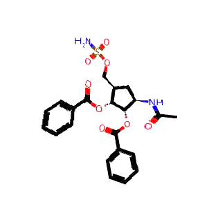 CC(=O)N[C@@H]1C[C@H](COS(N)(=O)=O)[C@@H](OC(=O)c2ccccc2)[C@H]1OC(=O)c1ccccc1